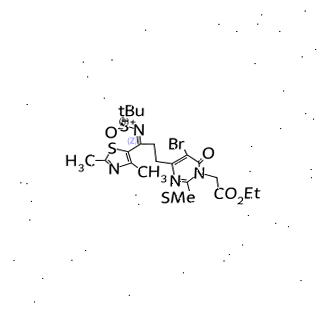 CCOC(=O)Cn1c(SC)nc(CC/C(=N/[S@+]([O-])C(C)(C)C)c2sc(C)nc2C)c(Br)c1=O